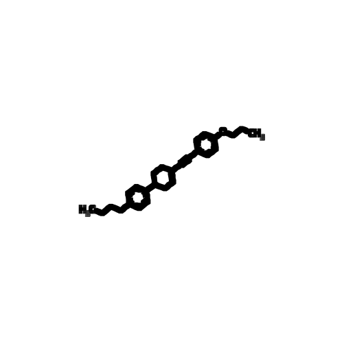 CCCCc1ccc(C2CC=C(C#Cc3ccc(OCCC)cc3)CC2)cc1